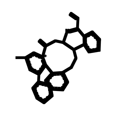 C=CC1=NC2CC(=C)[n+]3cc(C)cc(-c4ccccc4)c3-c3ccccc3CCC2c2ccccc21